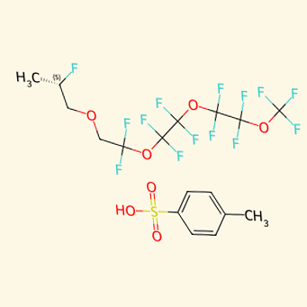 C[C@H](F)COCC(F)(F)OC(F)(F)C(F)(F)OC(F)(F)C(F)(F)OC(F)(F)F.Cc1ccc(S(=O)(=O)O)cc1